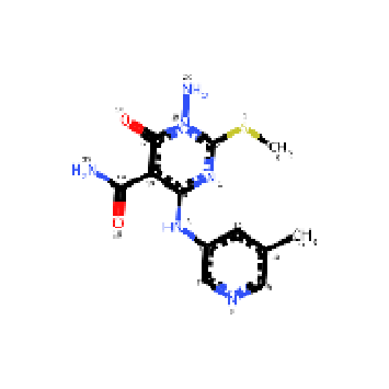 CSc1nc(Nc2cncc(C)c2)c(C(N)=O)c(=O)n1N